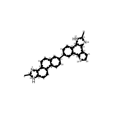 Cc1nc2c(ccc3c4ccc(-c5ccc6c(c5)c5sccc5c5nc(C)[nH]c65)cc4ccc32)[nH]1